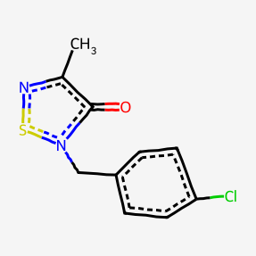 Cc1nsn(Cc2ccc(Cl)cc2)c1=O